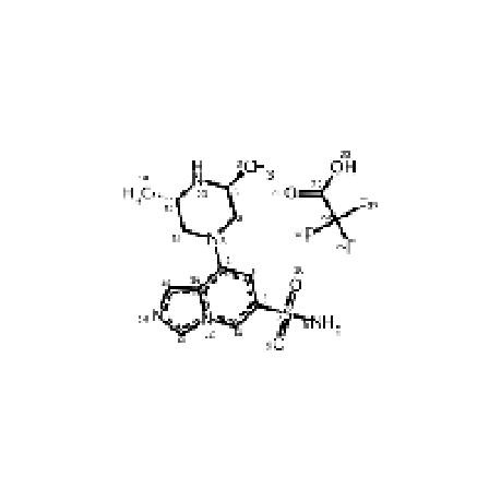 C[C@H]1CN(c2cc(S(N)(=O)=O)cn3cncc23)C[C@H](C)N1.O=C(O)C(F)(F)F